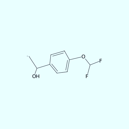 [CH2]C(O)c1ccc(OC(F)F)cc1